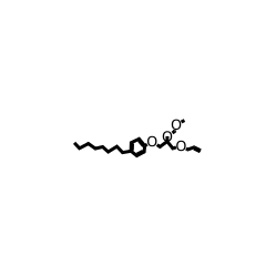 C=CCOCC(COc1ccc(CCCCCCCC)cc1)OCOC